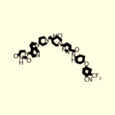 Cl.N#Cc1ccc(OC2CCC(NC(=O)c3ccc(N4CCC(CN5CCC(n6ccc7c(N8CCC(=O)NC8=O)cncc76)CC5)CC4)nn3)CC2)cc1C(F)(F)F